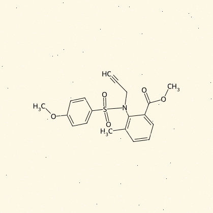 C#CCN(c1c(C)cccc1C(=O)OC)S(=O)(=O)c1ccc(OC)cc1